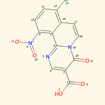 O=C(O)c1cnc2c3c([N+](=O)[O-])ccc(Br)c3ccn2c1=O